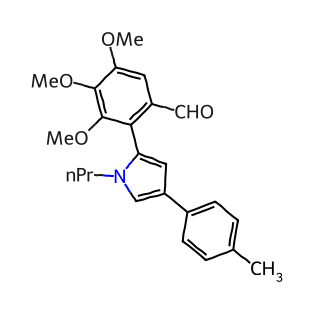 CCCn1cc(-c2ccc(C)cc2)cc1-c1c(C=O)cc(OC)c(OC)c1OC